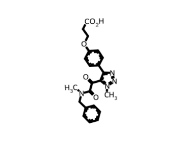 CN(Cc1ccccc1)C(=O)C(=O)c1c(-c2ccc(OCCC(=O)O)cc2)nnn1C